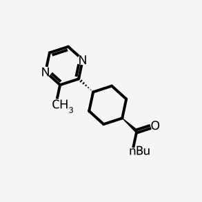 CCCCC(=O)[C@H]1CC[C@H](c2nccnc2C)CC1